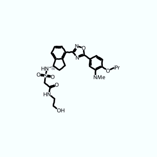 CNc1cc(-c2nc(-c3cccc4c3CC[C@@H]4NS(=O)(=O)CC(=O)NCCO)no2)ccc1OC(C)C